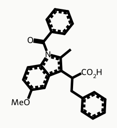 COc1ccc2c(c1)c(C(Cc1ccccc1)C(=O)O)c(C)n2C(=O)c1ccccc1